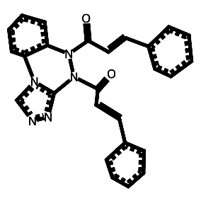 O=C(C=Cc1ccccc1)N1c2ccccc2-n2cnnc2N1C(=O)C=Cc1ccccc1